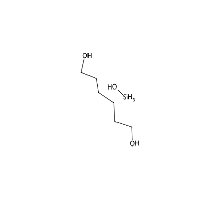 OCCCCCCO.O[SiH3]